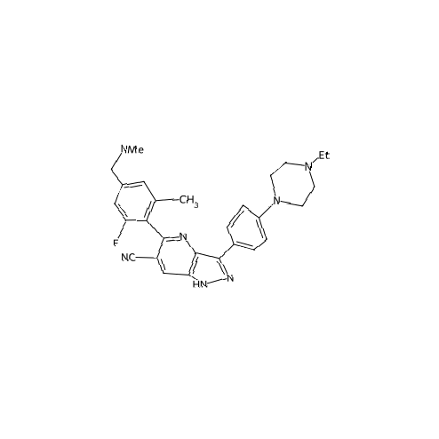 CCN1CCN(c2ccc(-c3n[nH]c4cc(C#N)c(-c5c(C)cc(CNC)cc5F)nc34)cc2)CC1